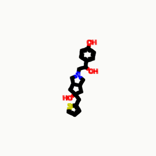 Oc1ccc(C(O)CN2CC3CC(O)(Cc4cccs4)CC3C2)cc1